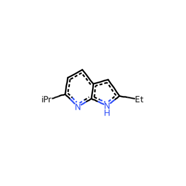 CCc1cc2ccc(C(C)C)nc2[nH]1